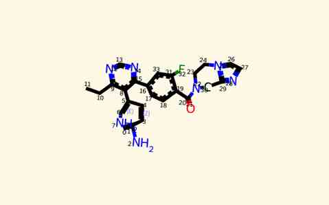 C=C(N)/C=C\C(=C/N)c1c(CC)ncnc1-c1ccc(C(=O)N2CCn3ccnc3C2)c(F)c1